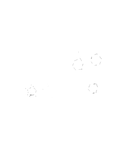 CCc1cc(-c2cccc(F)c2)c(OCc2ccccc2)cc1OCCCCCC(C)(C)c1nnn[nH]1